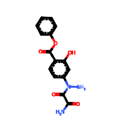 NC(=O)C(=O)N(N)c1ccc(C(=O)Oc2ccccc2)c(O)c1